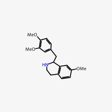 COc1ccc2c(c1)C(Cc1ccc(OC)c(OC)c1)NCC2